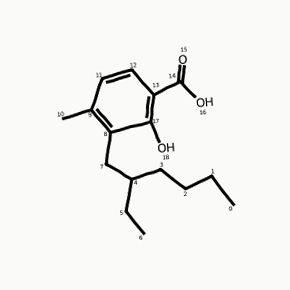 CCCCC(CC)Cc1c(C)ccc(C(=O)O)c1O